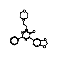 O=c1c(-c2ccc3c(c2)OCO3)nc(-c2ccccc2)nn1CCN1CCOCC1